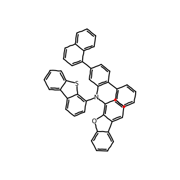 c1ccc(-c2ccc(-c3cccc4ccccc34)cc2N(c2cccc3c2oc2ccccc23)c2cccc3c2sc2ccccc23)cc1